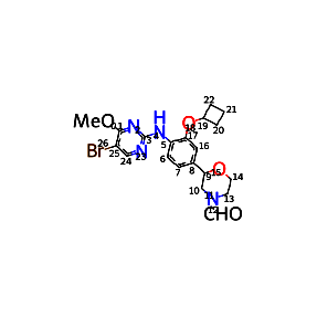 COc1nc(Nc2ccc(C3CN(C=O)CCO3)cc2OC2CCC2)ncc1Br